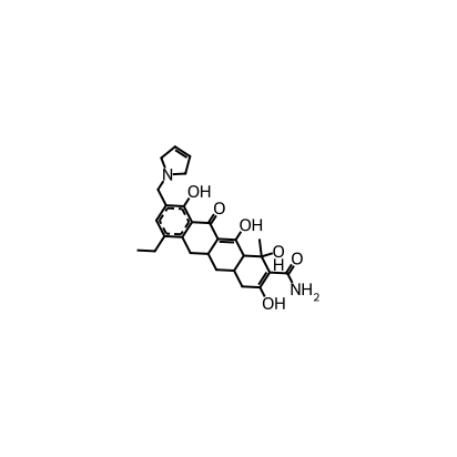 CCc1cc(CN2CC=CC2)c(O)c2c1CC1CC3CC(O)=C(C(N)=O)C(C)(O)C3C(O)=C1C2=O